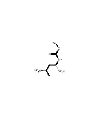 C[C@H](C[C@H](NC(=O)OC(C)(C)C)C(=O)O)C(=O)O